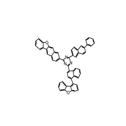 c1ccc(-c2ccc3cc(-c4nc(-c5ccc6cc7c(cc6c5)oc5ccccc57)nc(-c5ccc(-c6cccc7oc8ccccc8c67)c6ccccc56)n4)ccc3c2)cc1